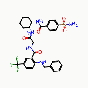 NS(=O)(=O)c1ccc(C(=O)N[C@H]2CCCC[C@H]2NC(=O)CNC(=O)c2cc(C(F)(F)F)ccc2NCc2ccccc2)cc1